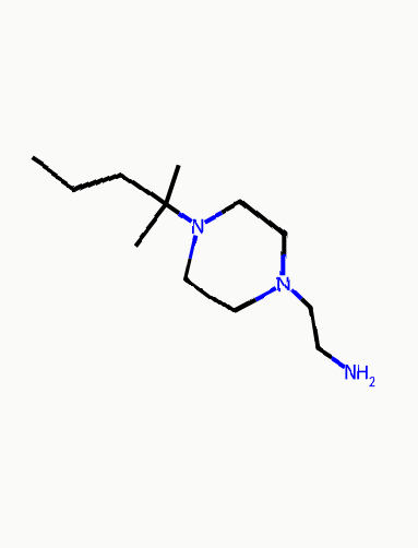 CCCC(C)(C)N1CCN(CCN)CC1